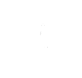 O=C(C1CCCCC1)P(=O)(c1ccccc1)c1ccccc1